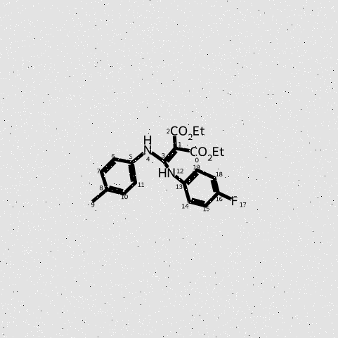 CCOC(=O)C(C(=O)OCC)=C(Nc1ccc(C)cc1)Nc1ccc(F)cc1